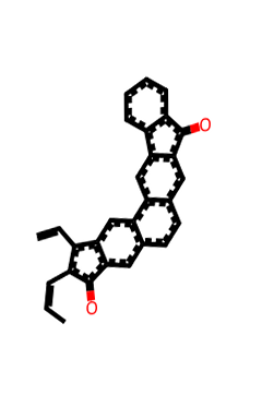 C=Cc1c(/C=C\C)c(=O)c2cc3ccc4cc5c(=O)c6ccccc6c5cc4c3cc12